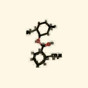 CC(C)C1CC[C@@H](C)CC1OC(=O)c1ccccc1C(=O)O